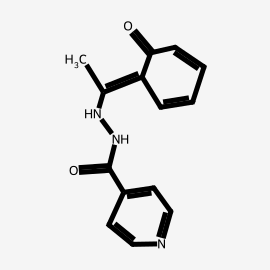 CC(NNC(=O)c1ccncc1)=C1C=CC=CC1=O